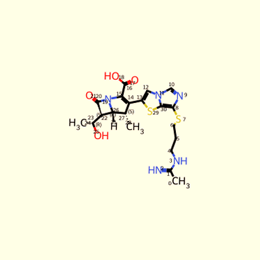 CC(=N)NCCCSc1ncn2cc(C3=C(C(=O)O)N4C(=O)[C@H]([C@@H](C)O)[C@H]4[C@H]3C)sc12